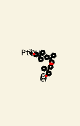 C1CCC(P(C2CCCCC2)C2CCCCC2)CC1.C1CCC(P(C2CCCCC2)C2CCCCC2)CC1.C1CCC(P(C2CCCCC2)C2CCCCC2)CC1.C=C[CH2][Pt+3].[Cl-].[Cl-].[Cl-]